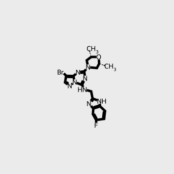 C[C@@H]1CN(c2nc(NCc3nc4cc(F)ccc4[nH]3)n3ncc(Br)c3n2)C[C@H](C)O1